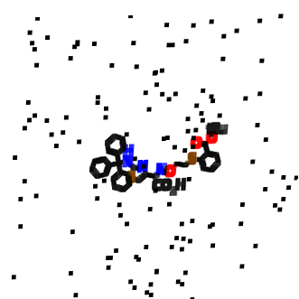 CC(C)(C)OC(=O)c1ccccc1SCCO/N=C(\C(=O)O)c1csc(NC(c2ccccc2)(c2ccccc2)c2ccccc2)n1